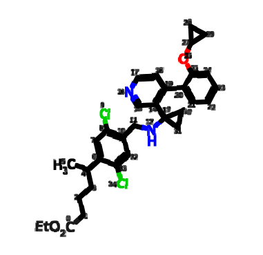 CCOC(=O)CCCC(C)c1cc(Cl)c(CNC2(c3cnccc3-c3ccccc3OC3CC3)CC2)cc1Cl